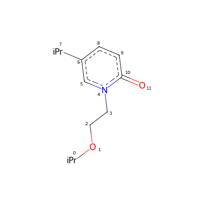 CC(C)OCCn1cc(C(C)C)ccc1=O